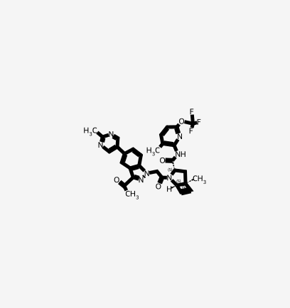 CC(=O)c1nn(CC(=O)N2[C@H](C(=O)Nc3nc(OC(F)(F)F)ccc3C)C[C@@]3(C)C#C[C@@H]23)c2ccc(-c3cnc(C)nc3)cc12